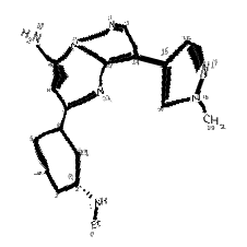 CCN[C@@H]1CCCC(c2cc(N)n3ncc(-c4cnn(C)c4)c3n2)C1